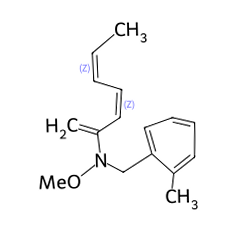 C=C(/C=C\C=C/C)N(Cc1ccccc1C)OC